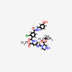 COC(=O)C(=Cc1csc(N2CCNCC2C(=O)OC(C)(C)C)n1)NC(=O)c1ccc(C(=O)NCc2cccc(O)c2)cc1Br